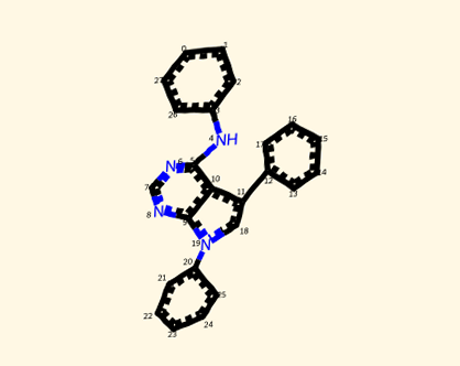 c1ccc(Nc2ncnc3c2c(-c2ccccc2)cn3-c2ccccc2)cc1